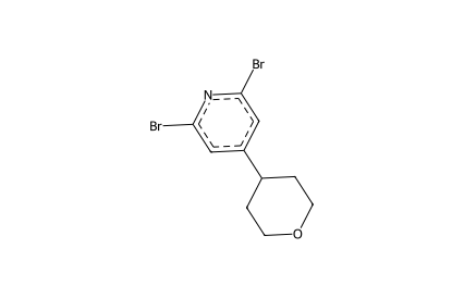 Brc1cc(C2CCOCC2)cc(Br)n1